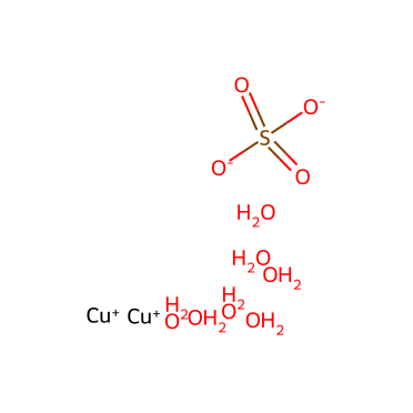 O.O.O.O.O.O.O.O=S(=O)([O-])[O-].[Cu+].[Cu+]